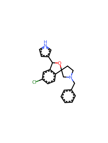 Clc1ccc2c(c1)C(c1cc[nH]c1)OC21CCN(Cc2ccccc2)C1